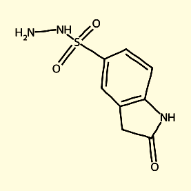 NNS(=O)(=O)c1ccc2c(c1)CC(=O)N2